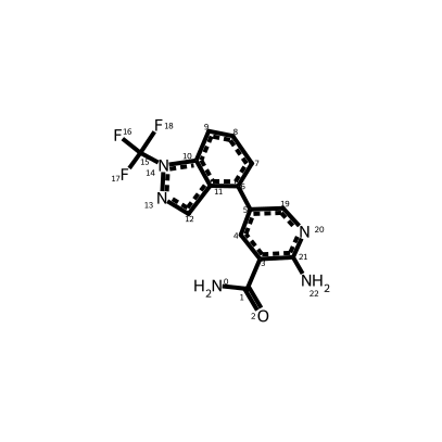 NC(=O)c1cc(-c2cccc3c2cnn3C(F)(F)F)cnc1N